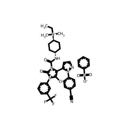 CC[N+](C)(C)[C@H]1CC[C@H](NC(=O)n2c(-c3ccnn3-c3ccc(C#N)cc3)c(C)n(-c3cccc(C(F)(F)F)c3)c2=O)CC1.O=S(=O)([O-])c1ccccc1